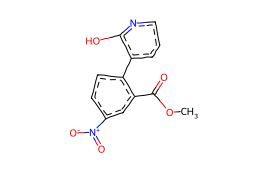 COC(=O)c1cc([N+](=O)[O-])ccc1-c1cccnc1O